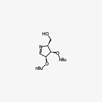 CCCCO[C@@H]1[C@H](CO)N=C[C@@H]1OCCCC